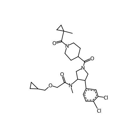 CN(C(=O)COCC1CC1)C1CN(C(=O)C2CCN(C(=O)C3(C)CC3)CC2)CC1c1ccc(Cl)c(Cl)c1